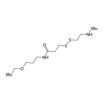 CC(C)(C)COCCCNC(=O)CCSSCCNC(C)(C)C